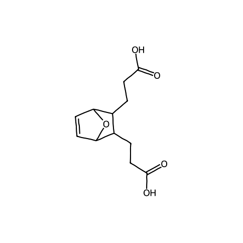 O=C(O)CCC1C2C=CC(O2)C1CCC(=O)O